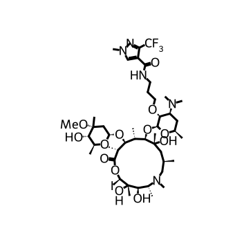 CO[C@]1(C)C[C@H](O[C@H]2[C@H](C)[C@@H](O[C@@H]3O[C@H](C)C[C@H](N(C)C)[C@H]3OCCCNC(=O)c3cn(C)nc3C(F)(F)F)[C@](C)(O)C[C@@H](C)CN(C)[C@H](C)[C@@H](O)[C@](C)(O)[C@@H](I)OC(=O)[C@@H]2C)O[C@@H](C)[C@@H]1O